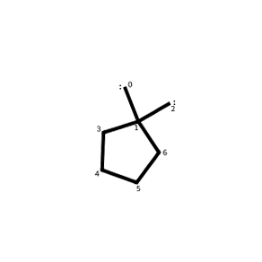 [CH]C1([CH])CCCC1